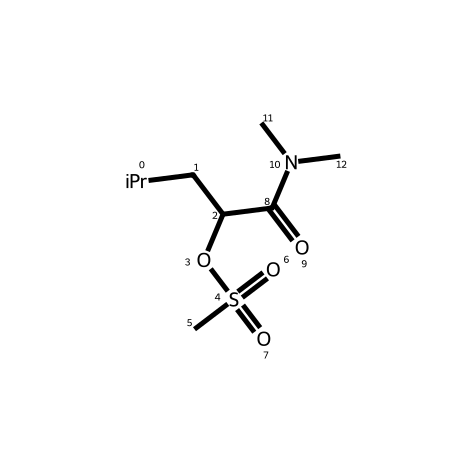 CC(C)CC(OS(C)(=O)=O)C(=O)N(C)C